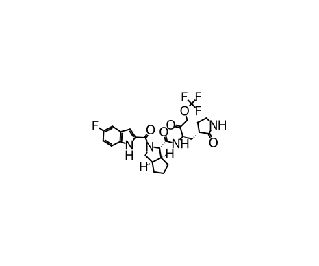 O=C1NCC[C@H]1C[C@@H](NC(=O)[C@@H]1[C@H]2CCC[C@H]2CN1C(=O)c1cc2cc(F)ccc2[nH]1)C(=O)COC(F)(F)F